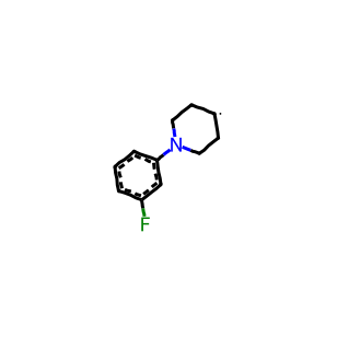 Fc1cccc(N2CC[CH]CC2)c1